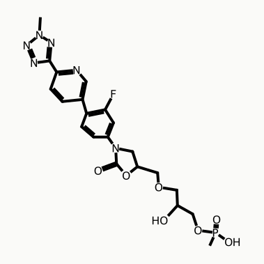 Cn1nnc(-c2ccc(-c3ccc(N4CC(COCC(O)COP(C)(=O)O)OC4=O)cc3F)cn2)n1